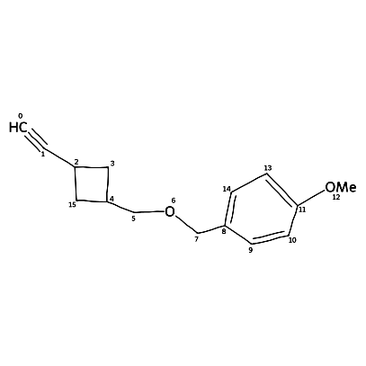 C#CC1CC(COCc2ccc(OC)cc2)C1